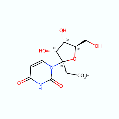 O=C(O)C[C@@]1(n2ccc(=O)[nH]c2=O)O[C@H](CO)[C@@H](O)[C@H]1O